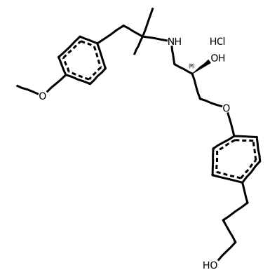 COc1ccc(CC(C)(C)NC[C@@H](O)COc2ccc(CCCO)cc2)cc1.Cl